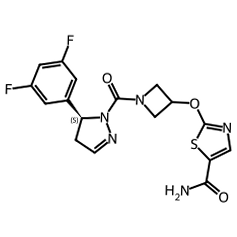 NC(=O)c1cnc(OC2CN(C(=O)N3N=CC[C@H]3c3cc(F)cc(F)c3)C2)s1